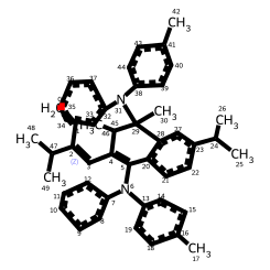 C=C/C(=C\C1=C(N(c2ccccc2)c2ccc(C)cc2)c2ccc(C(C)C)cc2C(C)(N(c2ccccc2)c2ccc(C)cc2)C1C)C(C)C